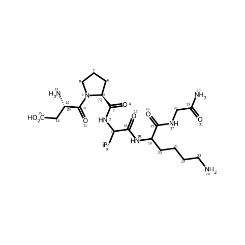 CC(C)C(NC(=O)[C@@H]1CCCN1C(=O)[C@@H](N)CC(=O)O)C(=O)NC(CCCCN)C(=O)NCC(N)=O